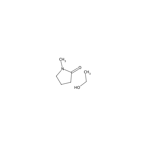 CCO.CN1CCCC1=O